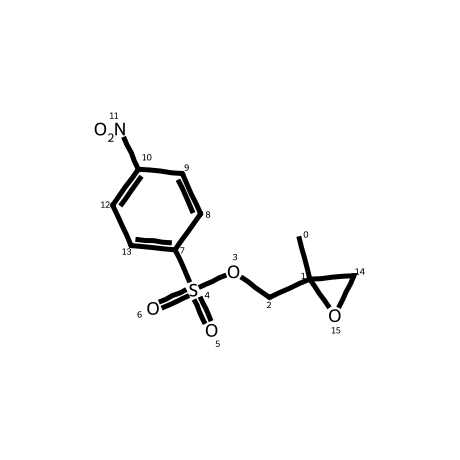 CC1(COS(=O)(=O)c2ccc([N+](=O)[O-])cc2)CO1